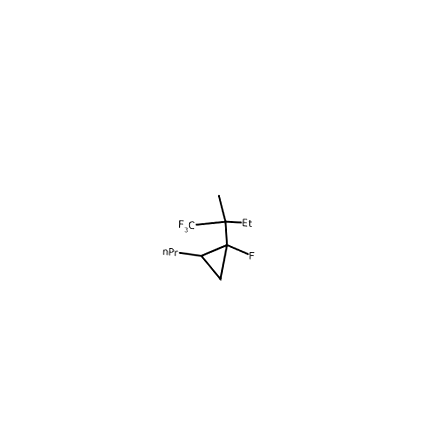 CCCC1CC1(F)C(C)(CC)C(F)(F)F